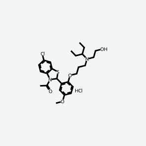 CCC(CC)N(CCO)CCCOc1ccc(OC)cc1C1Sc2cc(Cl)ccc2N1C(C)=O.Cl